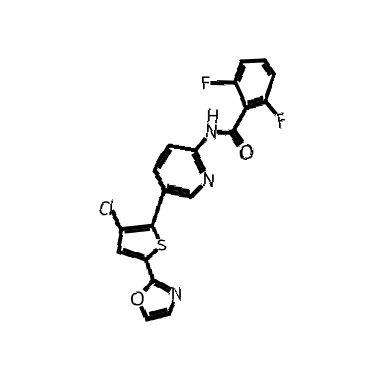 O=C(Nc1ccc(-c2sc(-c3ncco3)cc2Cl)cn1)c1c(F)cccc1F